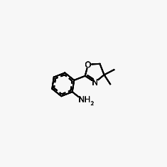 CC1(C)COC(c2ccccc2N)=N1